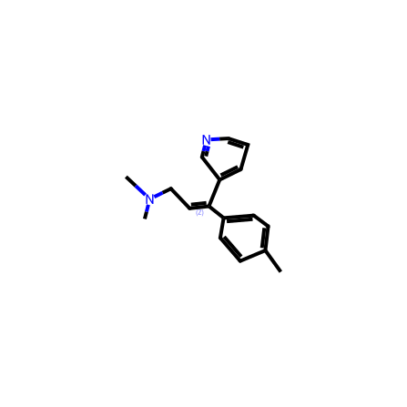 Cc1ccc(/C(=C/CN(C)C)c2cccnc2)cc1